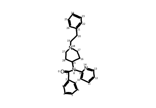 O=C(c1ccccc1)N(c1ccccn1)C1CCN(CCc2ccccc2)CC1